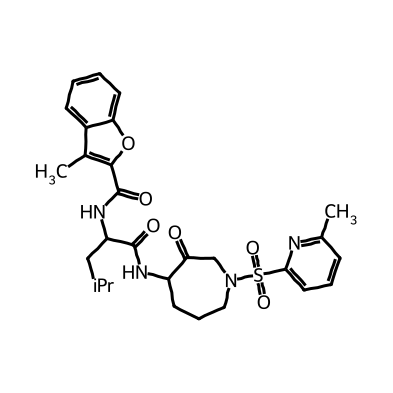 Cc1cccc(S(=O)(=O)N2CCCC(NC(=O)C(CC(C)C)NC(=O)c3oc4ccccc4c3C)C(=O)C2)n1